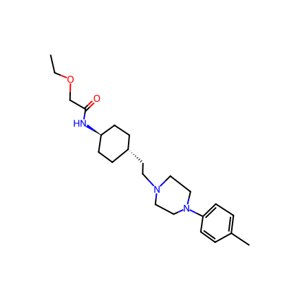 CCOCC(=O)N[C@H]1CC[C@H](CCN2CCN(c3ccc(C)cc3)CC2)CC1